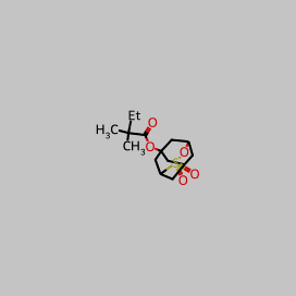 CCC(C)(C)C(=O)OC12CC3CC(C1)OS(=O)(=O)C(C3)C2